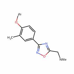 CNCc1nc(-c2ccc(OC(C)C)c(C)c2)no1